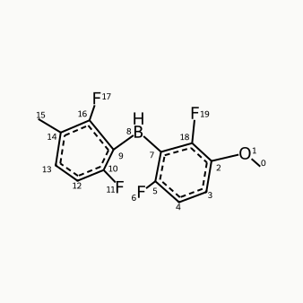 COc1ccc(F)c(Bc2c(F)ccc(C)c2F)c1F